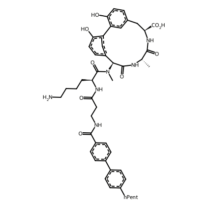 CCCCCc1ccc(-c2ccc(C(=O)NCCC(=O)N[C@@H](CCCCN)C(=O)N(C)[C@@H]3C(=O)N[C@@H](C)C(=O)N[C@H](C(=O)O)Cc4ccc(O)c(c4)-c4cc3ccc4O)cc2)cc1